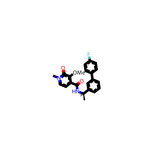 COc1c(C(=O)N[C@H](C)c2cccc(-c3ccc(F)cc3)c2)ccn(C)c1=O